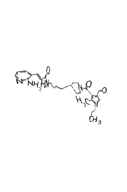 CCCn1cc(C=O)c(C(=O)N2CCC(CCCCNC(=O)/C=C/c3cccnc3N)CC2)c1C